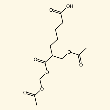 CC(=O)OCOC(=O)C(CCCCC(=O)O)COC(C)=O